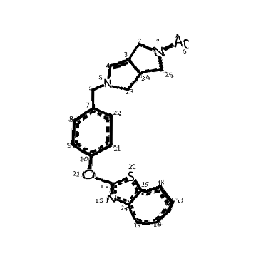 CC(=O)N1CC2=CN(Cc3ccc(Oc4nc5ccccc5s4)cc3)CC2C1